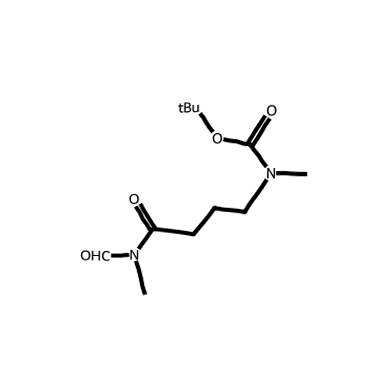 CN(C=O)C(=O)CCCN(C)C(=O)OC(C)(C)C